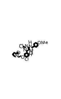 COc1ccc(CNc2nc(Cl)nc(-c3cc(OCCN4CCCC4=O)c(Cl)cc3Cl)c2NI)cc1